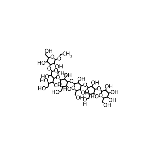 CCOC1OC(CO)C(O)C(OC(OC)C(O)C(OC2OC(CO)C(O)C(OC3OC(CO)C(O)C(OC4OC(CO)C(O)C(OC5OC(CO)C(O)C(O)C5O)C4O)C3O)C2O)C(C)[C@H](O)CO)C1O